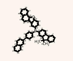 CC1(C)c2ccccc2-c2ccc(N(c3ccc(-c4ccc5ccccc5c4)cc3)c3ccc4oc5c6ccccc6ccc5c4c3)cc21